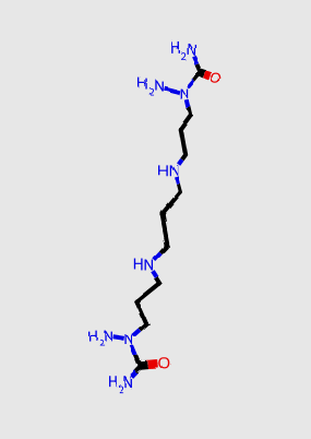 NC(=O)N(N)CCCNCCCNCCCN(N)C(N)=O